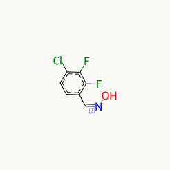 O/N=C\c1ccc(Cl)c(F)c1F